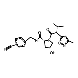 Cc1cc([C@H](C(=O)N2C[C@H](O)C[C@H]2C(=O)NCc2ccc(C#N)cc2)C(C)C)on1